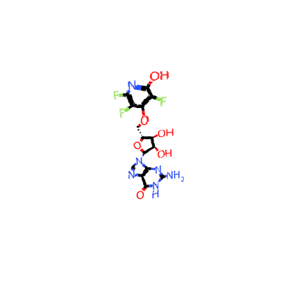 Nc1nc2c(ncn2[C@@H]2O[C@H](COc3c(F)c(O)nc(F)c3F)[C@@H](O)[C@H]2O)c(=O)[nH]1